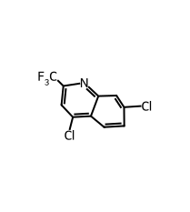 FC(F)(F)c1cc(Cl)c2ccc(Cl)cc2n1